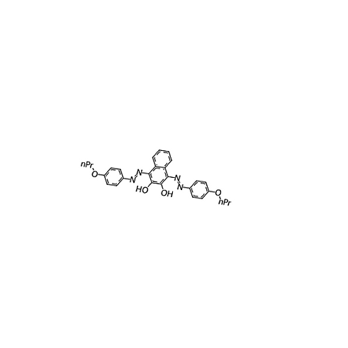 CCCOc1ccc(N=Nc2c(O)c(O)c(N=Nc3ccc(OCCC)cc3)c3ccccc23)cc1